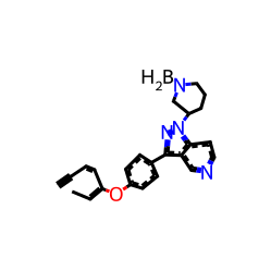 BN1CCCC(n2nc(-c3ccc(OC(/C=C\C#C)=C/C)cc3)c3cnccc32)C1